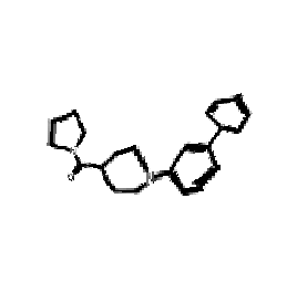 O=C(C1CCN(c2cccc(-c3ccccc3)c2)CC1)N1CCCC1